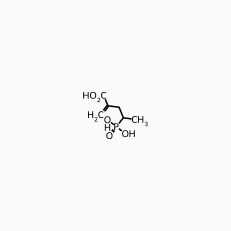 C=C(CC(C)P(=O)(O)O)C(=O)O